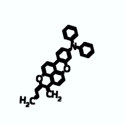 C=C/C=C1/Oc2ccc3c4c(ccc(c24)C1=C)Oc1cc(N(c2ccccc2)c2ccccc2)ccc1-3